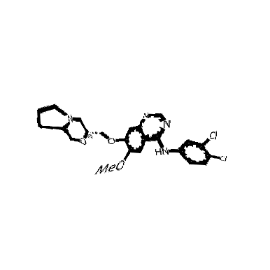 COc1cc2c(Nc3ccc(Cl)c(Cl)c3)ncnc2cc1OC[C@H]1CN2CCCC2CO1